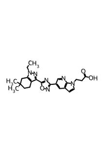 CCn1nc(-c2nc(-c3cnc4c(ccn4CCC(=O)O)c3)no2)c2c1CC(C)(C)CC2